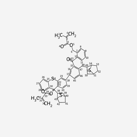 C=C(C)C(=O)OCc1ccccc1C(=O)c1cc(-c2ccc3c(c2)Sc2ccccc2C3(OC(=O)C(=C)C)C2CC3CCC2S3)ccc1CC1CC2CCC1S2